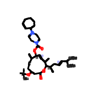 COC(/C=C/C[C@@H](C)C1OC(=O)CC(O[Si](C)(C)C(C)(C)C)CCC(C)[C@@H](OC(=O)N2CCN(C3CCCCCC3)CC2)/C=C/C1C)OC